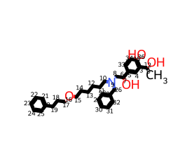 CC(O)c1cc(C(O)CN(CCCCCCOCCCc2ccccc2)Cc2ccccc2)ccc1O